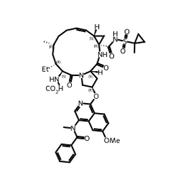 CC[C@@H]1C[C@H](C)CCC=C[C@@H]2C[C@@]2(C(=O)NS(=O)(=O)C2(C)CC2)NC(=O)[C@@H]2C[C@@H](Oc3ncc(N(C)C(=O)c4ccccc4)c4cc(OC)ccc34)CN2C(=O)[C@H]1NC(=O)O